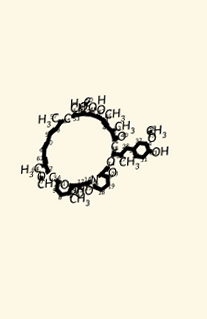 COC1CC2CCC(C)C(O)(O2)C(=O)C(=O)N2CCCCC2C(=O)OC(C(C)CC2CCC(O)C(OC)C2)CC(=O)C(C)/C=C(\C)C(O)C(OC)C(=O)C(C)CC(C)/C=C/C=C/C=C\1C